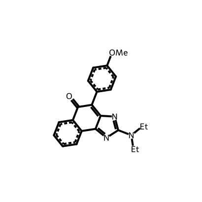 CCN(CC)C1=NC2=C(c3ccc(OC)cc3)C(=O)c3ccccc3C2=N1